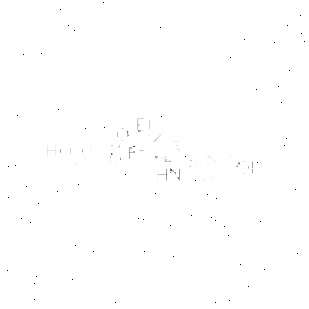 CCC(CC)(OC(=O)CC(=O)O)c1ccc2c(c1)[nH]c1ccc(CO)cc12